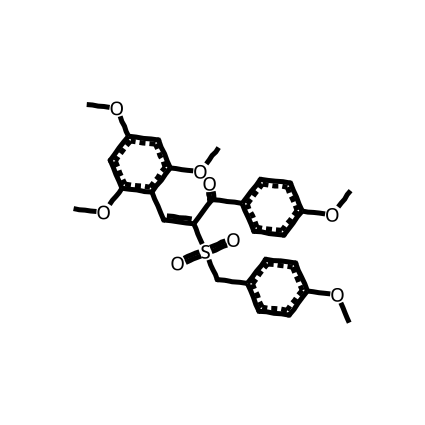 COc1ccc(CS(=O)(=O)/C(=C/c2c(OC)cc(OC)cc2OC)C(=O)c2ccc(OC)cc2)cc1